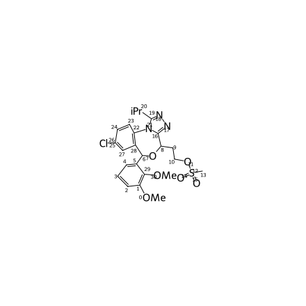 COc1cccc(C2OC(CCOS(C)(=O)=O)c3nnc(C(C)C)n3-c3ccc(Cl)cc32)c1OC